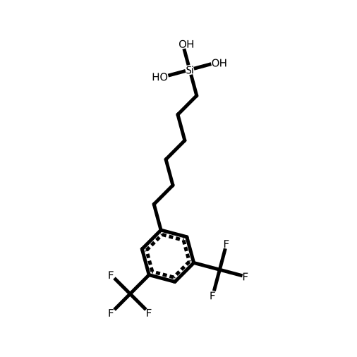 O[Si](O)(O)CCCCCCc1cc(C(F)(F)F)cc(C(F)(F)F)c1